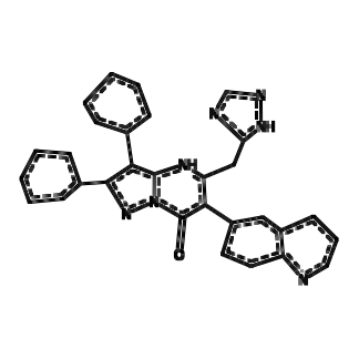 O=c1c(-c2ccc3ncccc3c2)c(Cc2ncn[nH]2)[nH]c2c(-c3ccccc3)c(-c3ccccc3)nn12